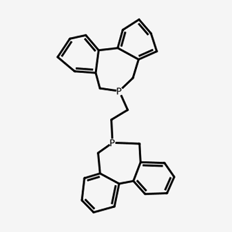 c1ccc2c(c1)CP(CCP1Cc3ccccc3-c3ccccc3C1)Cc1ccccc1-2